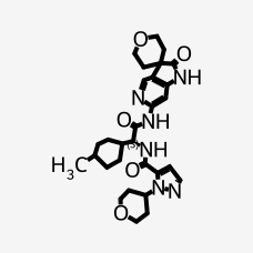 CC1CCC([C@H](NC(=O)c2ccnn2C2CCOCC2)C(=O)Nc2cc3c(cn2)C2(CCOCC2)C(=O)N3)CC1